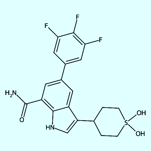 NC(=O)c1cc(-c2cc(F)c(F)c(F)c2)cc2c(C3CCS(O)(O)CC3)c[nH]c12